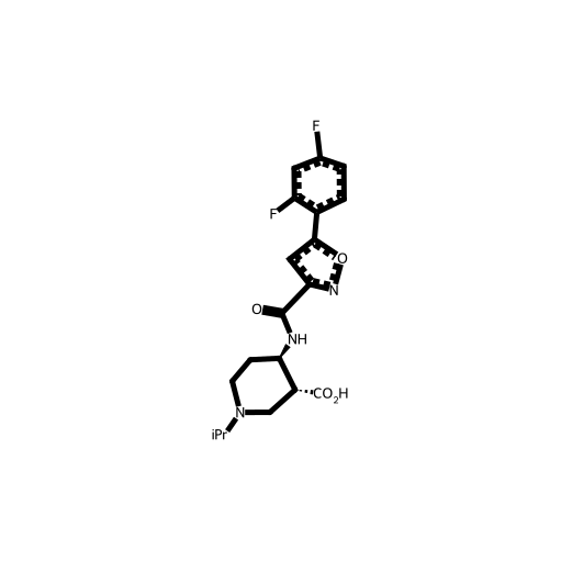 CC(C)N1CC[C@@H](NC(=O)c2cc(-c3ccc(F)cc3F)on2)[C@H](C(=O)O)C1